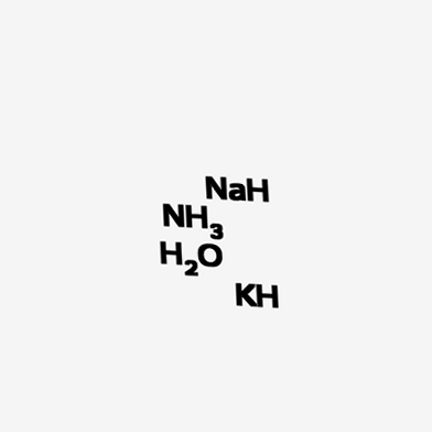 N.O.[KH].[NaH]